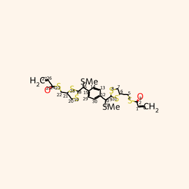 C=CC(=O)SCC1CSC(C(SC)c2ccc(C(SC)C3SCC(CSC(=O)C=C)S3)cc2)S1